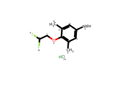 CNc1cc(C)c(OCC(F)F)c(C)c1.Cl